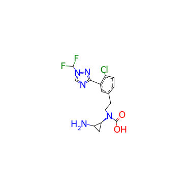 NC1C[C@@H]1N(CCc1ccc(Cl)c(-c2ncn(C(F)F)n2)c1)C(=O)O